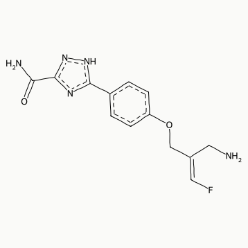 NC/C(=C\F)COc1ccc(-c2nc(C(N)=O)n[nH]2)cc1